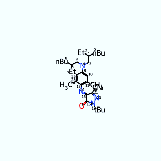 CCCCC(CC)CN(CC(CC)CCCC)c1cc(C)c(N=C2C(=O)N(C(C)(C)C)N=C2C#N)c(C)c1